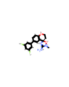 CN1O[C@]2(CCOc3ccc(-c4cc(F)cc(F)c4)cc32)N=C1N